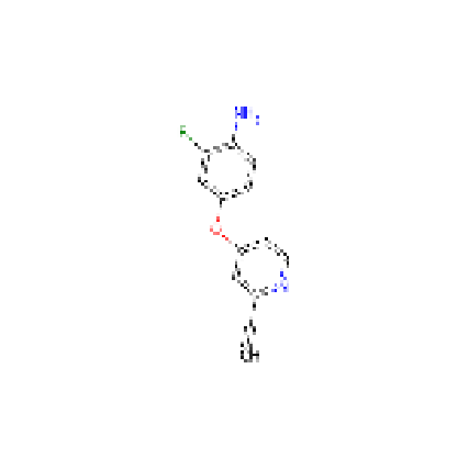 C#Cc1cc(Oc2ccc(N)c(F)c2)ccn1